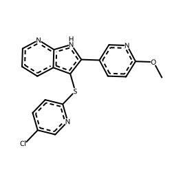 COc1ccc(-c2[nH]c3ncccc3c2Sc2ccc(Cl)cn2)cn1